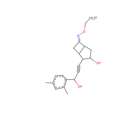 Cc1ccc(C(O)C#CC2C(O)CC3C(=NOCC(=O)O)CC32)c(C)c1